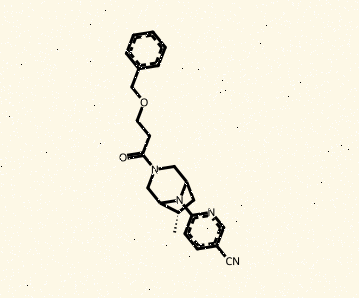 C[C@H]1CC2CN(C(=O)CCOCc3ccccc3)CC1N2c1ccc(C#N)cn1